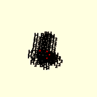 Bc1c(B)c(B)c(-c2c(B)c(B)c(-c3c(B)c(B)c(-c4c5c(B)c(B)c(B)c(B)c5c(-c5c(B)c(B)c(B)c6c5-c5c(c(B)c7c(B)c(B)c(B)c(B)c7c5B)B6)c5c(B)c(B)c(B)c(B)c45)c(B)c3B)c(B)c2B)c(B)c1B